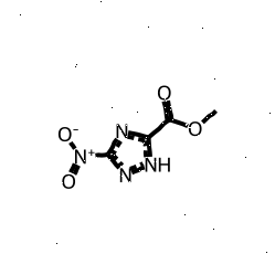 COC(=O)c1nc([N+](=O)[O-])n[nH]1